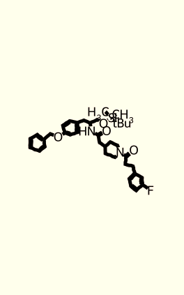 CC(C)(C)[Si](C)(C)OCC(Cc1ccc(OCc2ccccc2)cc1)NC(=O)CC1CCN(C(=O)CCc2cccc(F)c2)CC1